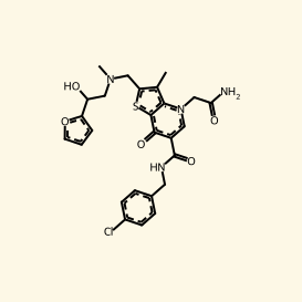 Cc1c(CN(C)CC(O)c2ccco2)sc2c(=O)c(C(=O)NCc3ccc(Cl)cc3)cn(CC(N)=O)c12